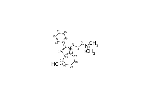 CN(C)CCCn1c(-c2ccccc2)cc2c1CCCCC2.Cl